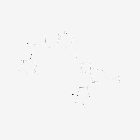 Cc1ccnc([C@H]2C[C@@H]2C(=O)Nc2cc(OCc3cn4cc(C5CC5)cc(N5C[C@@H]6C[C@@H]6C5=O)c4n3)cnn2)n1